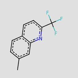 Cc1ccc2ccc(C(F)(F)F)nc2c1